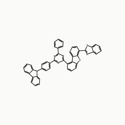 c1ccc(-c2nc(-c3ccc(-n4c5ccccc5c5ccccc54)cc3)nc(-c3cccc4sc5c(-c6nc7ccccc7s6)cccc5c34)n2)cc1